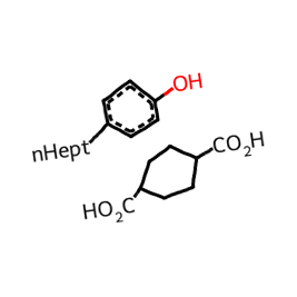 CCCCCCCc1ccc(O)cc1.O=C(O)C1CCC(C(=O)O)CC1